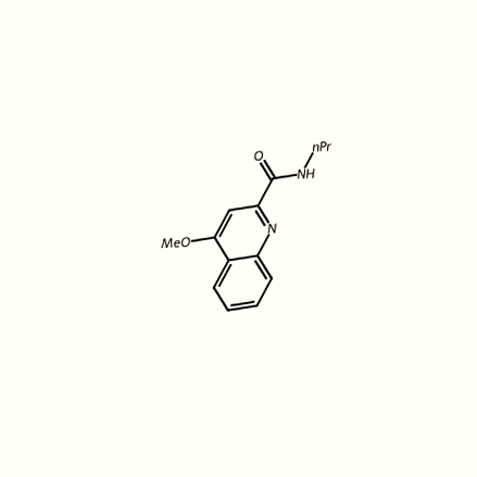 CCCNC(=O)c1cc(OC)c2ccccc2n1